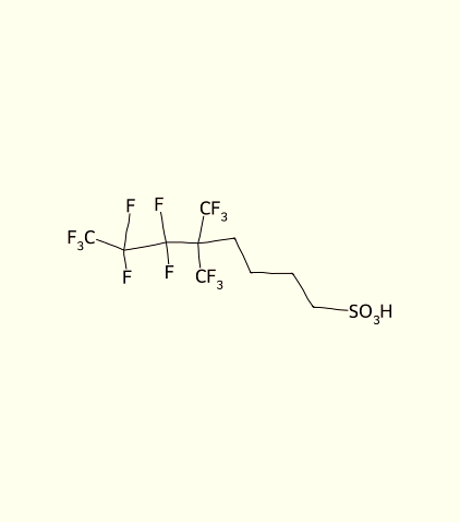 O=S(=O)(O)CCCCC(C(F)(F)F)(C(F)(F)F)C(F)(F)C(F)(F)C(F)(F)F